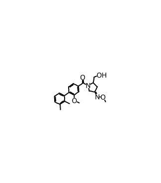 CO/N=C1\CC(CO)N(C(=O)c2ccc(-c3cccc(C)c3C)c(OC)c2)C1